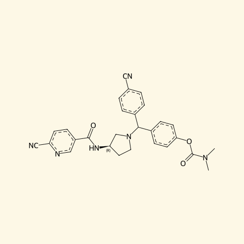 CN(C)C(=O)Oc1ccc(C(c2ccc(C#N)cc2)N2CC[C@@H](NC(=O)c3ccc(C#N)nc3)C2)cc1